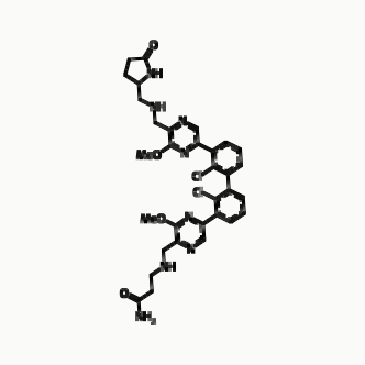 COc1nc(-c2cccc(-c3cccc(-c4cnc(CNCC5CCC(=O)N5)c(OC)n4)c3Cl)c2Cl)cnc1CNCCC(N)=O